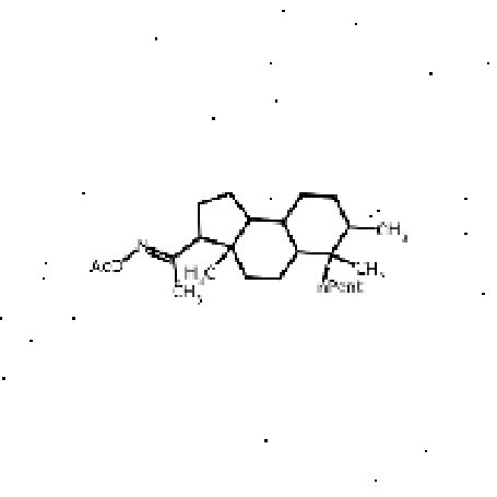 CCCCCC1(C)C(C)CCC2C1CCC1(C)C(/C(C)=N/OC(C)=O)CCC21